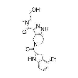 CCc1cccc2[nH]c(C(=O)N3CCc4[nH]nc(C(=O)N(C)CCO)c4C3)cc12